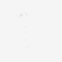 CCOC(N)=O.[O]=[Cr](=[O])([O-])[O-].[Zn+2]